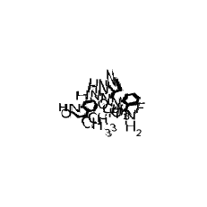 COc1cc2c(cc1Nc1nc(Nc3cccc(F)c3C(N)=O)c3ccnc-3[nH]1)NC(=O)CC2(C)C